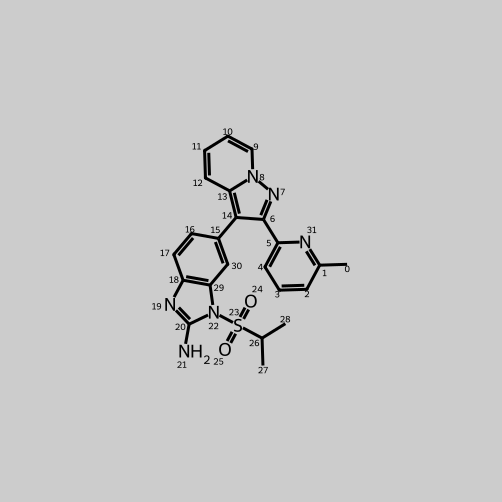 Cc1cccc(-c2nn3ccccc3c2-c2ccc3nc(N)n(S(=O)(=O)C(C)C)c3c2)n1